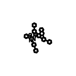 c1ccc(-c2ccc(-c3nc(-n4c5ccc(-c6ccccc6)cc5c5c6c7c(cc54)-c4ccc(-c5ccccc5)cc4C7Cc4ccccc4-6)c4oc5ccccc5c4n3)cc2)cc1